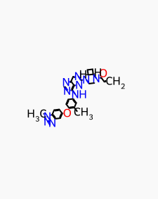 C=CC(=O)N1CCN(c2ncc3ncnc(Nc4ccc(Oc5ccc6c(c5)nnn6C)c(C)c4)c3n2)[C@@H]2CC[C@H]21